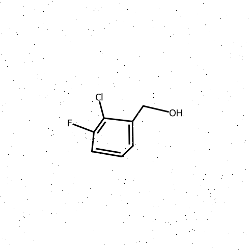 OCc1cccc(F)c1Cl